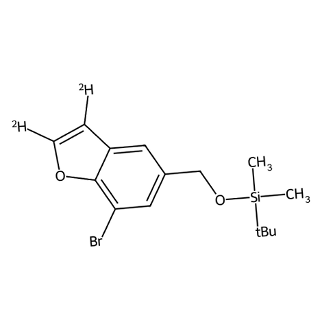 [2H]c1oc2c(Br)cc(CO[Si](C)(C)C(C)(C)C)cc2c1[2H]